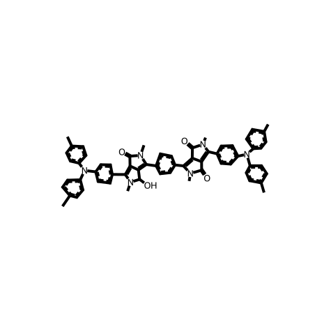 Cc1ccc(N(c2ccc(C)cc2)c2ccc(C3=C4C(=O)N(C)C(c5ccc(C6=C7C(=C(c8ccc(N(c9ccc(C)cc9)c9ccc(C)cc9)cc8)N(C)C7O)C(=O)N6C)cc5)=C4C(=O)N3C)cc2)cc1